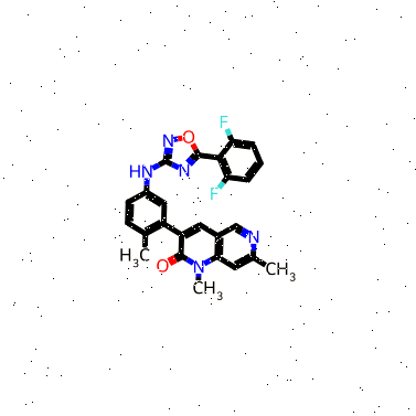 Cc1cc2c(cn1)cc(-c1cc(Nc3noc(-c4c(F)cccc4F)n3)ccc1C)c(=O)n2C